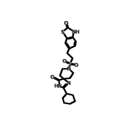 O=C1NC(C2CCCCC2)=NC12CCN(S(=O)(=O)CCc1ccc3[nH]c(=O)sc3c1)CC2